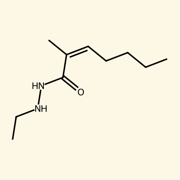 CCCCC=C(C)C(=O)NNCC